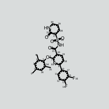 Cc1cc(C)c(Oc2nc(-c3ccc(F)c(F)c3)ccc2C(=O)NS(=O)(=O)c2ccc[nH]c2=O)c(C)c1